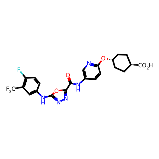 O=C(Nc1ccc(O[C@H]2CC[C@H](C(=O)O)CC2)nc1)c1nnc(Nc2ccc(F)c(C(F)(F)F)c2)o1